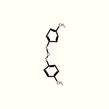 Cc1ccc(SOSc2ccc(C)cc2)cc1